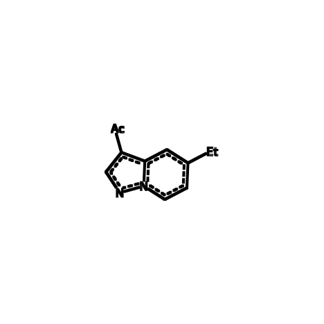 CCc1ccn2ncc(C(C)=O)c2c1